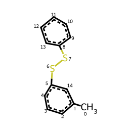 Cc1cccc(SSc2ccccc2)c1